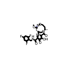 CO/C1=N/OCC[C@H](C)N2C[C@H](C1)n1cc(C(=O)NCc3c(F)cc(F)cc3F)c(=O)c(O)c1C2=O